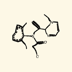 C=C(C1N=CC=CN1C)N(C(=O)CCl)c1c(C)cccc1C